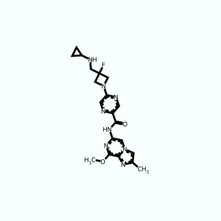 COc1nc(NC(=O)c2cnc(N3CC(F)(CNC4CC4)C3)cn2)cn2cc(C)nc12